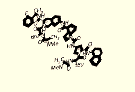 CN[C@@H](C)C(=O)NC(C(=O)N1Cc2cc(NC(=O)c3cccc4c3ccn4C(=O)N[C@H]3C[C@@H](C(=O)N[C@@H]4CCCc5ccccc54)N(C(=O)[C@@H](NC(=O)[C@H](C)NC)C(C)(C)C)C3)ccc2C[C@H]1C(=O)N[C@H](C)c1ccccc1F)C(C)(C)C